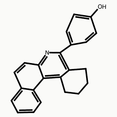 Oc1ccc(-c2nc3ccc4ccccc4c3c3c2CCCC3)cc1